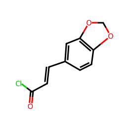 O=C(Cl)/C=C/c1ccc2c(c1)OCO2